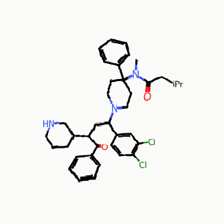 CC(C)CC(=O)N(C)C1(c2ccccc2)CCN(C(CC(C(=O)c2ccccc2)C2CCCNC2)c2ccc(Cl)c(Cl)c2)CC1